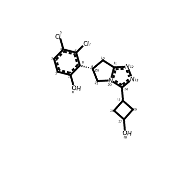 Oc1ccc(Cl)c(Cl)c1[C@@H]1Cc2nnc(C3CC(O)C3)n2C1